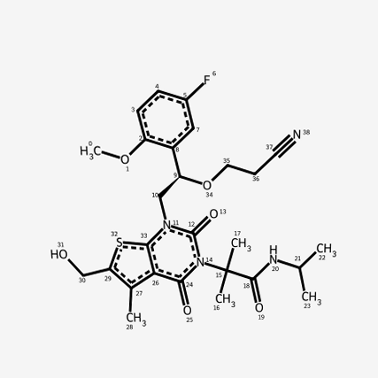 COc1ccc(F)cc1[C@H](Cn1c(=O)n(C(C)(C)C(=O)NC(C)C)c(=O)c2c(C)c(CO)sc21)OCCC#N